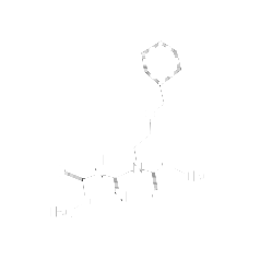 CC(C)(C)OC(=O)NC(=N)N(CCOCc1ccccc1)C(=O)OC(C)(C)C